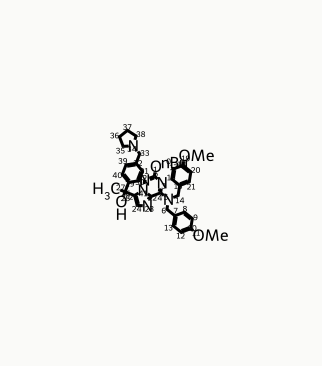 CCCCOc1nc(N(Cc2ccc(OC)cc2)Cc2ccc(OC)cc2)c2ncc(C(C)(O)c3ccc(CN4CCCC4)cc3)n2n1